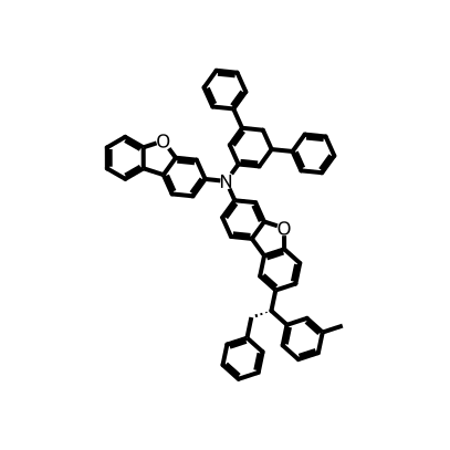 Cc1cccc([C@H](Cc2ccccc2)c2ccc3oc4cc(N(C5=CC(c6ccccc6)CC(c6ccccc6)=C5)c5ccc6c(c5)oc5ccccc56)ccc4c3c2)c1